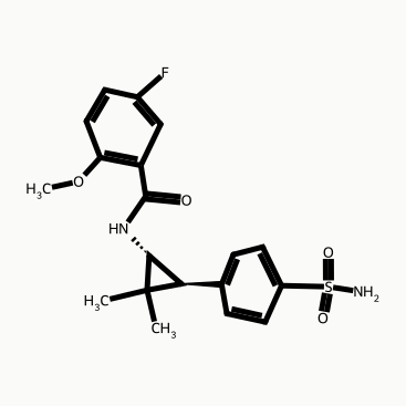 COc1ccc(F)cc1C(=O)N[C@@H]1[C@@H](c2ccc(S(N)(=O)=O)cc2)C1(C)C